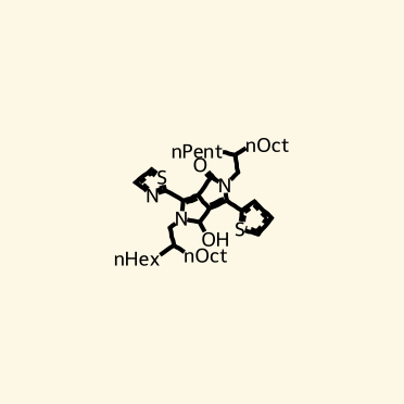 CCCCCCCCC(CCCCC)CN1C(=O)C2=C(c3nccs3)N(CC(CCCCCC)CCCCCCCC)C(O)C2=C1c1cccs1